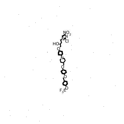 O=[N+]([O-])c1cn(CC[C@H](O)COc2ccc(N3CCC(COc4ccc(OCc5ccc(OC(F)(F)F)cc5)cc4)CC3)cc2)c(Cl)n1